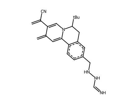 C=C(C#N)C1=CN2C(=CC1=C)c1ccc(CNNC=N)cc1CC2C(C)(C)C